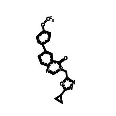 O=c1c2cc(-c3ccc(OC(F)(F)F)cc3)ccc2ncn1Cc1nnc(C2CC2)o1